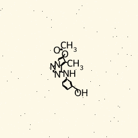 CC(=O)Oc1cn2ncnc(Nc3cccc(CO)c3)c2c1C